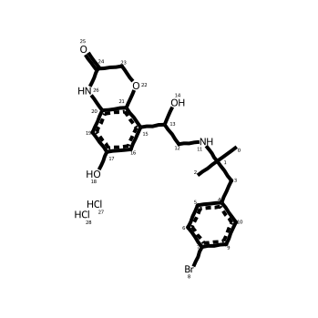 CC(C)(Cc1ccc(Br)cc1)NCC(O)c1cc(O)cc2c1OCC(=O)N2.Cl.Cl